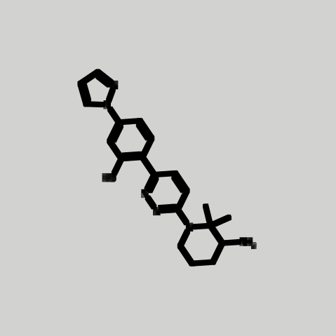 CC1(C)C(N)CCCN1c1ccc(-c2ccc(-n3cccn3)cc2O)nn1